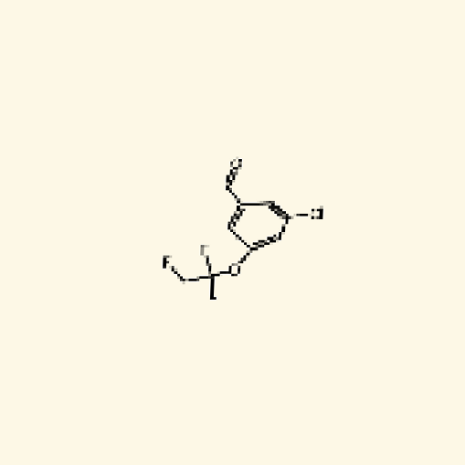 O=Cc1cc(Cl)cc(OC(F)(F)CF)c1